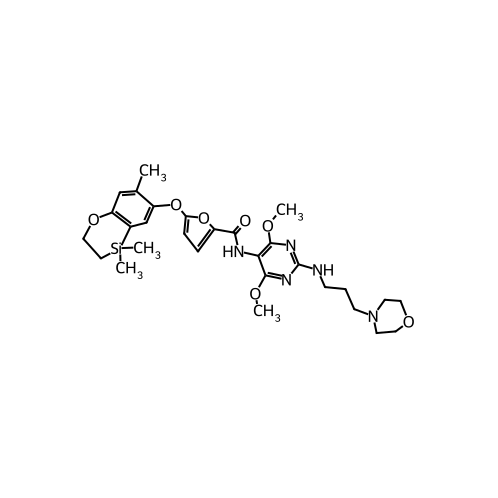 COc1nc(NCCCN2CCOCC2)nc(OC)c1NC(=O)c1ccc(Oc2cc3c(cc2C)OCC[Si]3(C)C)o1